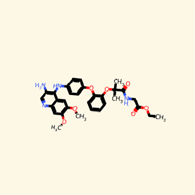 CCOC(=O)CNC(=O)C(C)(C)Oc1ccccc1Oc1ccc(Nc2c(N)cnc3cc(OC)c(OC)cc23)cc1